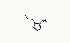 CCCn1nccc1N